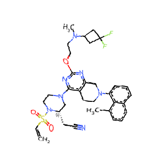 C=CS(=O)(=O)N1CCN(c2nc(OCCN(C)C3CC(F)(F)C3)nc3c2CCN(c2cccc4cccc(C)c24)C3)C[C@@H]1CC#N